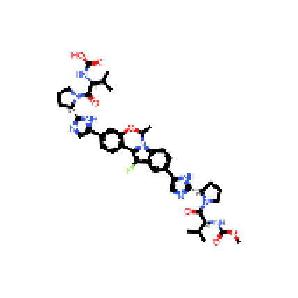 COC(=O)N[C@H](C(=O)N1CCC[C@H]1c1ncc(-c2ccc3c(c2)c(F)c2n3C(C)Oc3cc(-c4cnc([C@@H]5CCCN5C(=O)[C@@H](NC(=O)O)C(C)C)[nH]4)ccc3-2)[nH]1)C(C)C